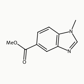 COC(=O)c1ccc2c(c1)ncn2C